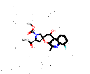 COC(=O)[C@@H]1C[C@]2(CC(O)c3c(c(C)nc4c(F)cccc34)O2)CN1C(=O)OC(C)(C)C